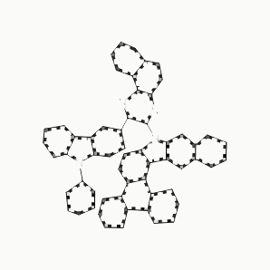 c1ccc(-n2c3ccccc3c3cc(-c4nc5c(ccc6ccccc65)nc4-n4c5cc6ccccc6cc5c5c6c7ccccc7c7ccccc7c6ccc54)ccc32)cc1